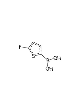 OB(O)c1ccc(F)s1